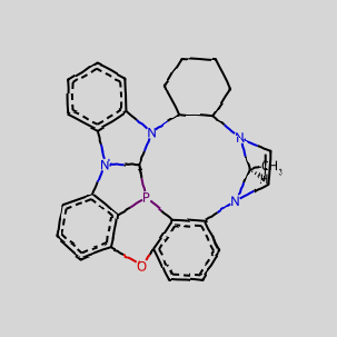 C[C@H]1N2C=CN1C1CCCCC1N1c3ccccc3N3c4cccc5c4P(c4c(cccc42)O5)C31